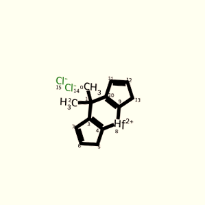 CC1(C)C2=[C](CC=C2)[Hf+2][C]2=C1C=CC2.[Cl-].[Cl-]